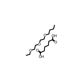 CCCCOCCOCCOCC.O=C(O)CCCCC(=O)O